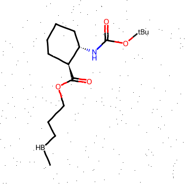 CBCCCOC(=O)[C@H]1CCCC[C@@H]1NC(=O)OC(C)(C)C